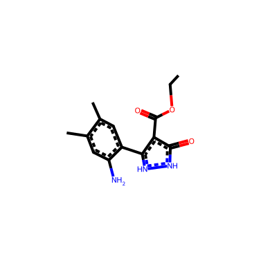 CCOC(=O)c1c(-c2cc(C)c(C)cc2N)[nH][nH]c1=O